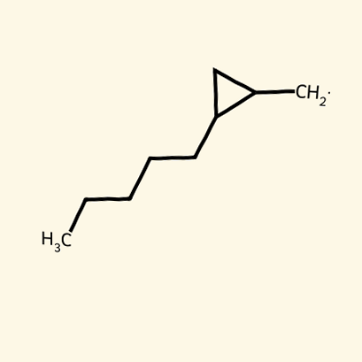 [CH2]C1CC1CCCCC